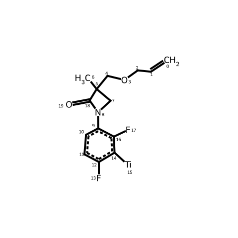 C=CCOCC1(C)CN(c2ccc(F)[c]([Ti])c2F)C1=O